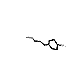 CCCCCCCCC1CCC(N)CC1